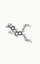 CNc1ccc(Oc2ncnc3cc(OCCOC)c(OCCOC)cc23)c(C)c1